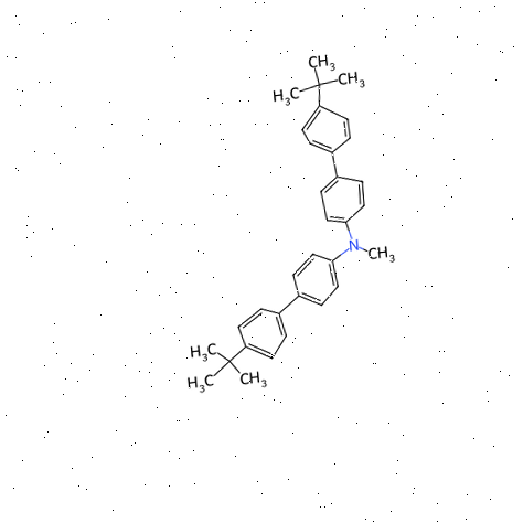 CN(c1ccc(-c2ccc(C(C)(C)C)cc2)cc1)c1ccc(-c2ccc(C(C)(C)C)cc2)cc1